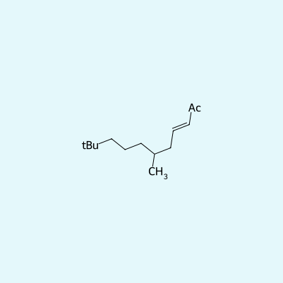 CC(=O)/C=C/CC(C)CCCC(C)(C)C